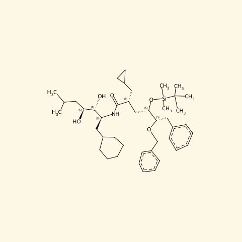 CC(C)C[C@H](O)[C@H](O)[C@H](CC1CCCCC1)NC(=O)[C@H](CC1CC1)C[C@H](O[Si](C)(C)C(C)(C)C)[C@H](Cc1ccccc1)OCc1ccccc1